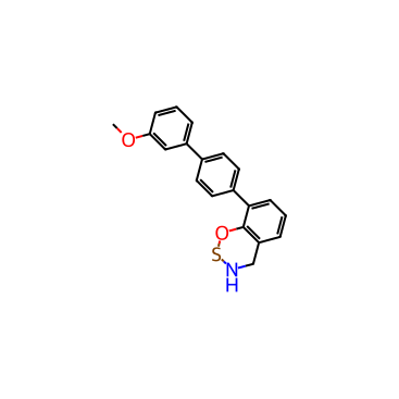 COc1cccc(-c2ccc(-c3cccc4c3OSNC4)cc2)c1